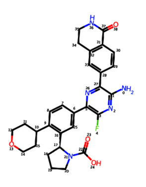 Nc1nc(F)c(-c2ccc(C3CCOCC3)c([C@@H]3CCCN3C(=O)O)c2)nc1-c1ccc2c(c1)CCNC2=O